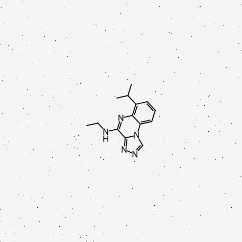 CCNc1nc2c(C(C)C)cccc2n2cnnc12